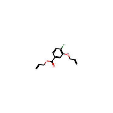 C=CCOC(=O)c1ccc(Cl)c(OCC=C)c1